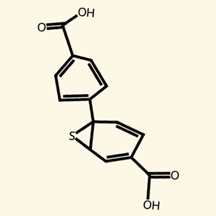 O=C(O)C1=CC2SC2(c2ccc(C(=O)O)cc2)C=C1